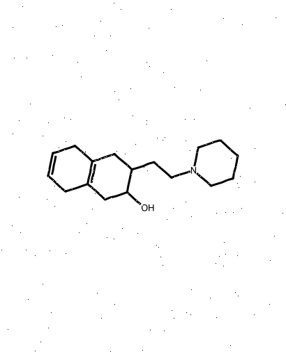 OC1CC2=C(CC=CC2)CC1CCN1CCCCC1